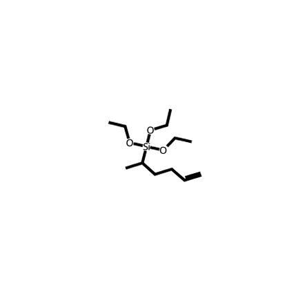 C=CCCC(C)[Si](OCC)(OCC)OCC